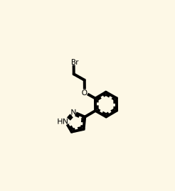 BrCCOc1ccccc1-c1cc[nH]n1